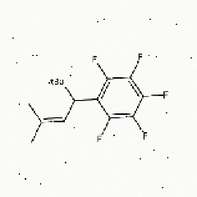 CC(C)=CC(c1c(F)c(F)c(F)c(F)c1F)C(C)(C)C